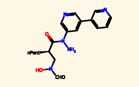 CCCCC[C@H](CN(O)C=O)C(=O)N(N)c1cncc(-c2cccnc2)c1